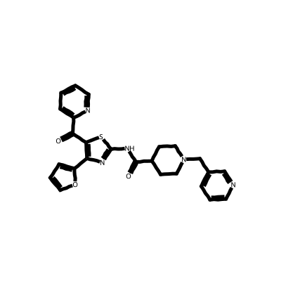 O=C(c1ccccn1)c1sc(NC(=O)C2CCN(Cc3cccnc3)CC2)nc1-c1ccco1